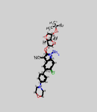 CC(C)(C)[Si](C)(C)O[C@@H]1CO[C@H]2[C@@H]1OC[C@H]2Oc1c(C#N)c2cc(-c3ccc(N4CCOCC4)cc3)c(Cl)cc2n1N